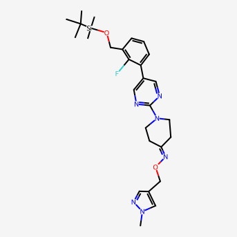 Cn1cc(CON=C2CCN(c3ncc(-c4cccc(CO[Si](C)(C)C(C)(C)C)c4F)cn3)CC2)cn1